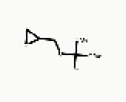 [CH2]CC(OC)(OC)OCC1CO1